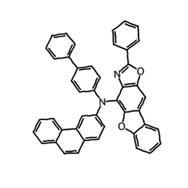 c1ccc(-c2ccc(N(c3ccc4ccc5ccccc5c4c3)c3c4nc(-c5ccccc5)oc4cc4c3oc3ccccc34)cc2)cc1